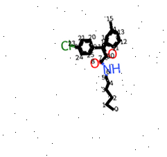 CCCCCCNC(=O)c1oc2ccc(C)cc2c1-c1ccc(Cl)cc1